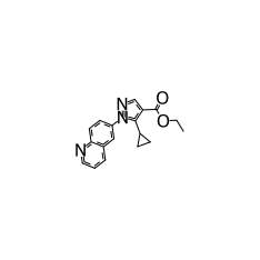 CCOC(=O)c1cnn(-c2ccc3ncccc3c2)c1C1CC1